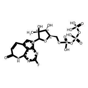 C[C@]1(O)C(n2cc3c4c(nc(F)nc42)NC(=O)C=C3)O[C@H](COP(=O)(O)OP(=O)(O)OP(=O)(O)O)[C@H]1O